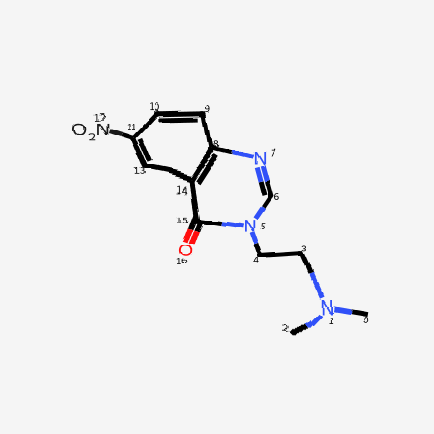 CN(C)CCn1cnc2ccc([N+](=O)[O-])cc2c1=O